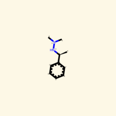 C[C@H](NN(C)C)c1ccccc1